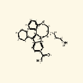 O=C(O)c1ccc2c(C3CCCCC3)c3n(c2c1)C[C@@H](CCCO)COc1ccccc1-3